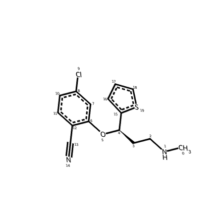 CNCC[C@@H](Oc1cc(Cl)ccc1C#N)c1cccs1